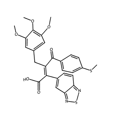 COc1cc(C/C(C(=O)c2ccc(SC)cc2)=C(\C(=O)O)c2ccc3nsnc3c2)cc(OC)c1OC